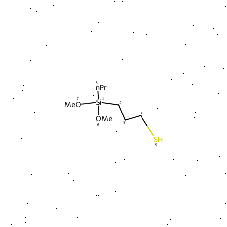 CCC[Si](CCCS)(OC)OC